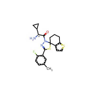 Cc1ccc(F)c(C2=NN(C(=O)[C@@H](N)C3CC3)C3(CCCc4sccc43)S2)c1